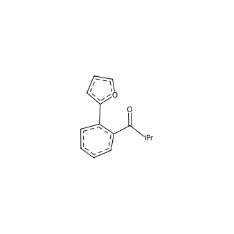 CC(C)C(=O)c1ccccc1-c1ccco1